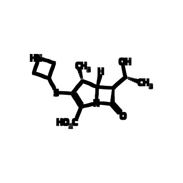 C[C@@H](O)[C@H]1C(=O)N2C(C(=O)O)=C(SC3CNC3)[C@H](C)[C@H]12